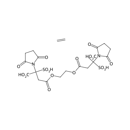 C=C.O=C(CC(C(=O)O)(N1C(=O)CCC1=O)S(=O)(=O)O)OCCOC(=O)CC(C(=O)O)(N1C(=O)CCC1=O)S(=O)(=O)O